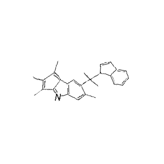 CC1=C(C)C(C)=C2C1=Nc1cc(C)c(C(C)(C)C3C=Cc4ccccc43)cc12